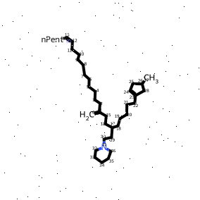 C=C(CCCCCCCCCC/C=C\CCCCC)CCC(CCCCCC1=CCC(C)C1)CCN1CCCCC1